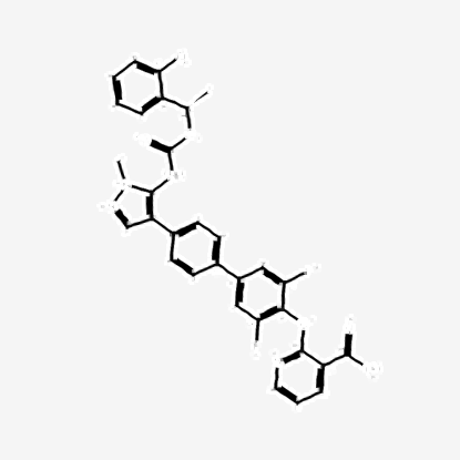 C[C@@H](OC(=O)Nc1c(-c2ccc(-c3cc(F)c(Oc4ncccc4C(=O)O)c(F)c3)cc2)cnn1C)c1ccccc1Cl